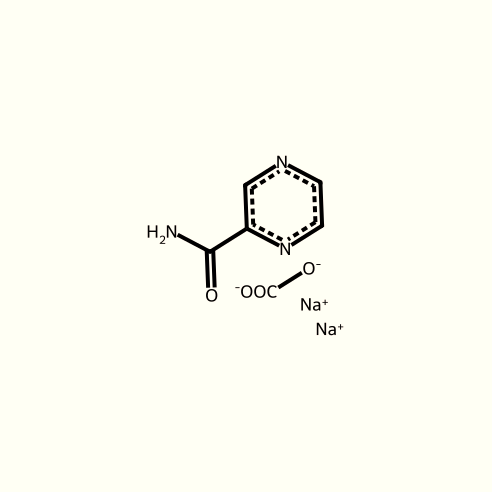 NC(=O)c1cnccn1.O=C([O-])[O-].[Na+].[Na+]